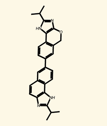 CC(C)c1nc2c([nH]1)-c1ccc(-c3ccc4c(ccc5nc(C(C)C)[nH]c54)c3)cc1CO2